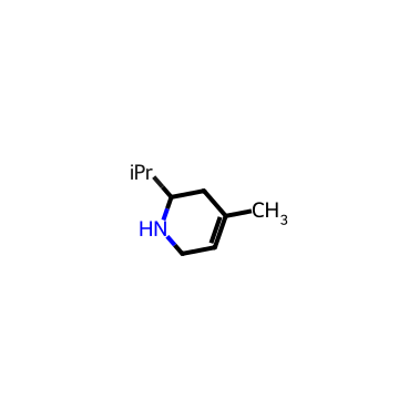 CC1=CCNC(C(C)C)C1